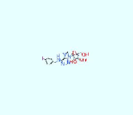 OC[C@H]1O[C@@H](n2cnc3c(NCc4ccc(I)cc4)ncnc32)[C@H](O)[C@@H]1O